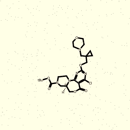 CC(C)(C)OC(=O)N1CCN2c3nc(OCC4(CN5CCOCC5)CC4)nc(Cl)c3C(=O)OC[C@H]2C1